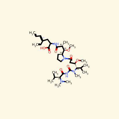 C=C/C=C(\C=C)CC(NC(=O)[C@H](C)[C@@H](OC)[C@@H]1CCCN1C(=O)CC(OC)[C@H](C(C)C)N(C)C(=O)NC(=O)[C@H](C(C)C)N(C)C)C(=O)O